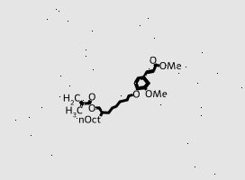 C=C(C)C(=O)OCC(CCCCCCCC)CCCCCCOc1ccc(C=CC(=O)OC)cc1OC